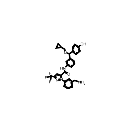 NCc1cccc(-n2nc(C(F)(F)F)cc2C(=O)Nc2cccc(C(OCC3CC3)c3ccc(O)cc3)c2)c1